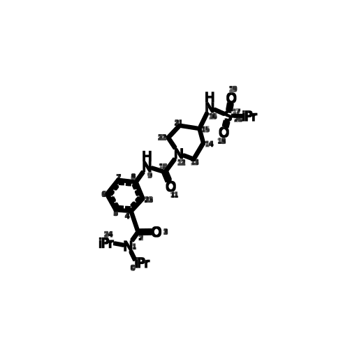 CC(C)N(C(=O)c1cccc(NC(=O)N2CCC(NS(=O)(=O)C(C)C)CC2)c1)C(C)C